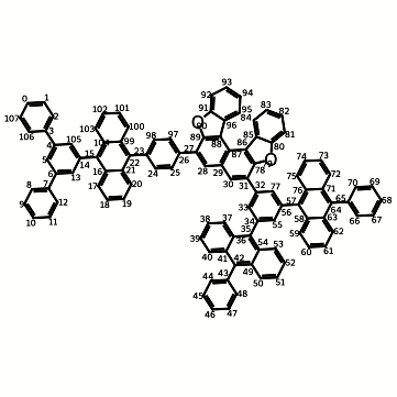 c1ccc(-c2cc(-c3ccccc3)cc(-c3c4ccccc4c(-c4ccc(-c5cc6cc(-c7cc(-c8c9ccccc9c(-c9ccccc9)c9ccccc89)cc(-c8c9ccccc9c(-c9ccccc9)c9ccccc89)c7)c7oc8ccccc8c7c6c6c5oc5ccccc56)cc4)c4ccccc34)c2)cc1